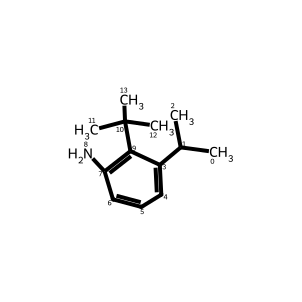 CC(C)c1cccc(N)c1C(C)(C)C